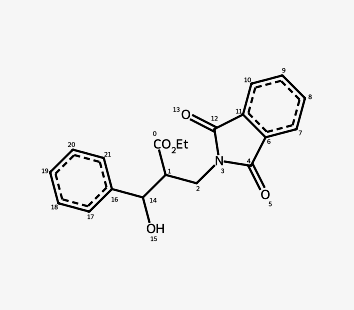 CCOC(=O)C(CN1C(=O)c2ccccc2C1=O)C(O)c1ccccc1